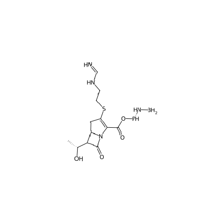 BNPOC(=O)C1=C(SCCNC=N)CC2C([C@@H](C)O)C(=O)N12